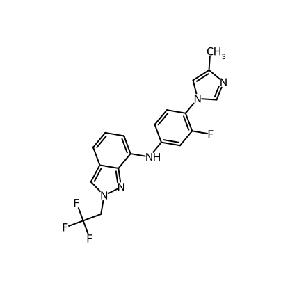 Cc1cn(-c2ccc(Nc3cccc4cn(CC(F)(F)F)nc34)cc2F)cn1